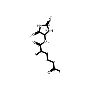 CC(=O)CCCC(C)C(=O)OC1NC(=O)NC1=O